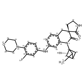 C[C@@H]1C2CC1(N1C(=O)[C@]3(CCNC3=O)Cc3cnc(Nc4ccc(N5CCOCC5)c(F)c4)nc31)C2